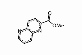 COC(=O)c1ccc2ncccc2n1